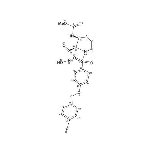 COC(=O)N[C@H]1CCCN(S(=O)(=O)c2ccc(OCc3ccc(F)cc3)cc2)[C@H]1C(=O)NO